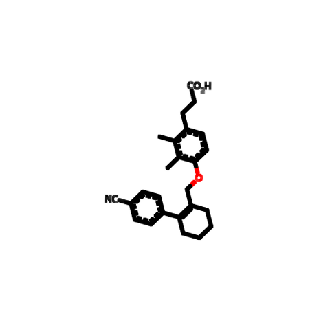 Cc1c(CCC(=O)O)ccc(OCC2=C(c3ccc(C#N)cc3)CCCC2)c1C